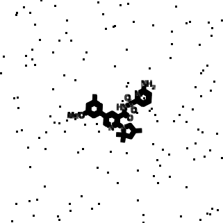 COc1cc(C)cc(-c2cnc(N3CC(C)CC3(C)C)c(C(=O)NS(=O)(=O)c3cccc(N)n3)c2)c1